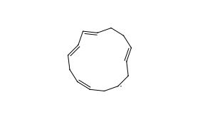 [CH]1C/C=C\C/C=C/C=C/CC/C=C/C1